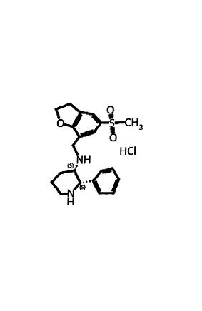 CS(=O)(=O)c1cc2c(c(CN[C@H]3CCCN[C@H]3c3ccccc3)c1)OCC2.Cl